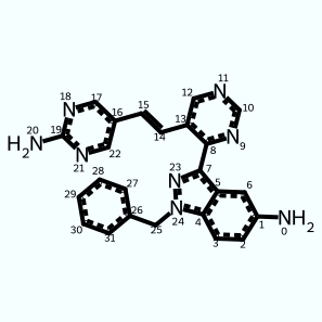 Nc1ccc2c(c1)c(-c1ncncc1C=Cc1cnc(N)nc1)nn2Cc1ccccc1